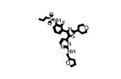 CCCS(=O)(=O)Nc1cccc(-c2nc(C3CCOCC3)sc2-c2ccnc(NCC3CCCO3)n2)c1F